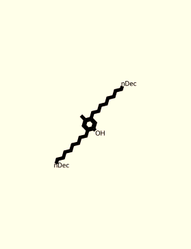 CCCCCCCCCCCCCCCCCCc1cc(O)c(CCCCCCCCCCCCCCCCCC)cc1C